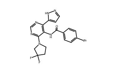 CC(C)c1ccc(C(=O)Nc2c(-c3ccn[nH]3)ncnc2N2CCC(F)(F)C2)cc1